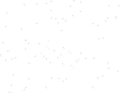 Nc1ncnc2c1nc(Sc1cc3c(cc1Br)OCO3)n2CCC12CC3CC(CC(C3)C1)C2